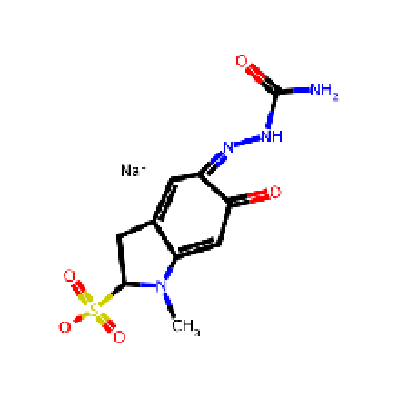 CN1C2=CC(=O)C(=NNC(N)=O)C=C2CC1S(=O)(=O)[O-].[Na+]